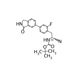 CC(C)(C)OC(=O)N[C@H](C#N)Cc1ccc(-c2ccc3c(c2)C(=O)NC3)cc1F